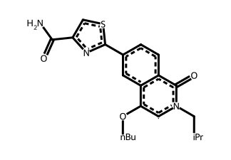 CCCCOc1[c]n(CC(C)C)c(=O)c2ccc(-c3nc(C(N)=O)cs3)cc12